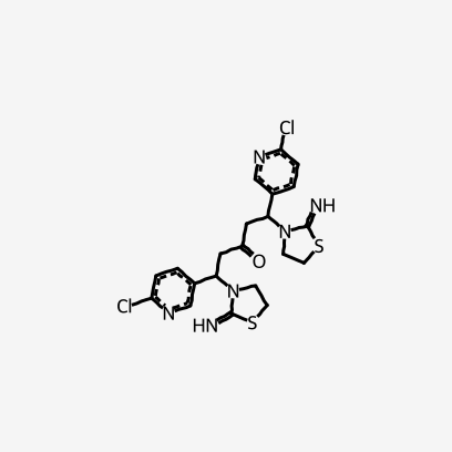 N=C1SCCN1C(CC(=O)CC(c1ccc(Cl)nc1)N1CCSC1=N)c1ccc(Cl)nc1